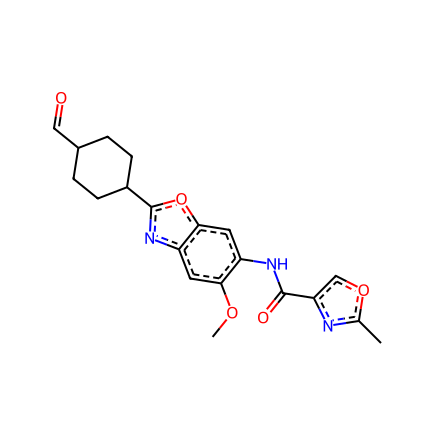 COc1cc2nc(C3CCC(C=O)CC3)oc2cc1NC(=O)c1coc(C)n1